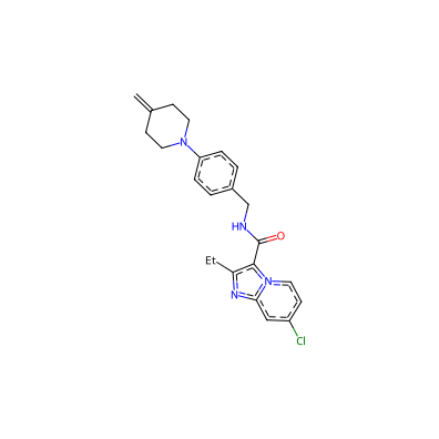 C=C1CCN(c2ccc(CNC(=O)c3c(CC)nc4cc(Cl)ccn34)cc2)CC1